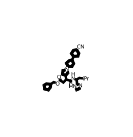 CC(C)CC(NC(=O)C(CC(=O)OCc1ccccc1)c1ccn(-c2ccc(-c3ccc(C#N)cc3)cc2)c1)c1ncc[nH]1